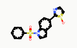 O=S(=O)(c1ccccc1)n1ccc2cc(-c3ncc[s+]3[O-])ccc21